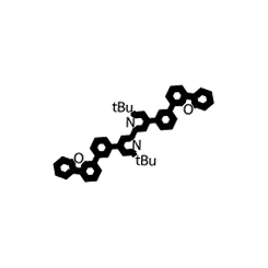 CC(C)(C)c1cc(-c2cccc(-c3cccc4c3oc3ccccc34)c2)cc(-c2cc(-c3cccc(-c4cccc5c4oc4ccccc45)c3)cc(C(C)(C)C)n2)n1